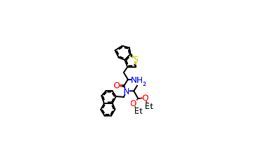 CCOC(OCC)C(C)N(Cc1cccc2ccccc12)C(=O)C(N)Cc1csc2ccccc12